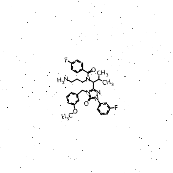 COc1cccc(Cn2c(C(C(C)C)N(CCCN)C(=O)c3ccc(F)cc3)nn(-c3cccc(F)c3)c2=O)c1